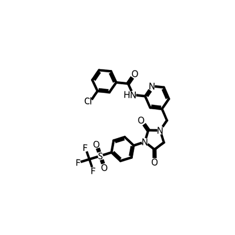 O=C(Nc1cc(CN2CC(=O)N(c3ccc(S(=O)(=O)C(F)(F)F)cc3)C2=O)ccn1)c1cccc(Cl)c1